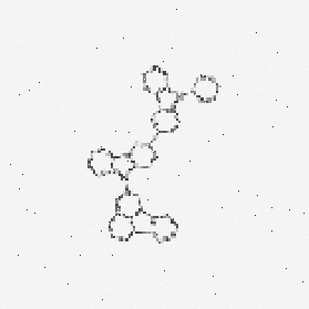 c1ccc(-n2c3ccccc3c3cc(-c4ccc5c(c4)c4ccccc4n5-c4cc5c6c(cccc6c4)-c4ccccc4-5)ccc32)cc1